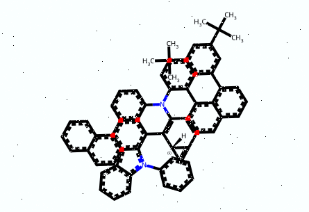 CC(C)(C)c1cc(-c2cccc3cccc(-c4ccccc4N(C4=C(c5cccc6c7ccccc7n(-c7ccccc7)c56)[C@H]5C=C5C=C4)c4cccc(-c5cccc6ccccc56)c4)c23)cc(C(C)(C)C)c1